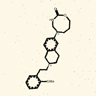 COc1ccccc1CC[C@@H]1CCc2cc([C@@H]3CCCOC(=O)NC3)ccc2C1